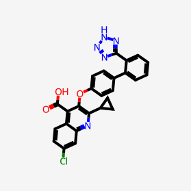 O=C(O)c1c(Oc2ccc(-c3ccccc3-c3nn[nH]n3)cc2)c(C2CC2)nc2cc(Cl)ccc12